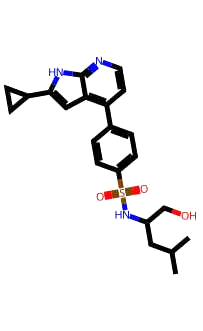 CC(C)CC(CO)NS(=O)(=O)c1ccc(-c2ccnc3[nH]c(C4CC4)cc23)cc1